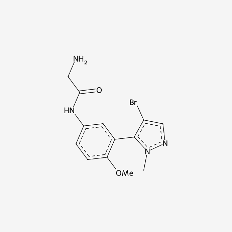 COc1ccc(NC(=O)CN)cc1-c1c(Br)cnn1C